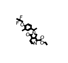 CCOC(=O)c1nccc2c1CN(C(C)c1ccc(OCC(C)(F)F)c(C)c1)C2=O